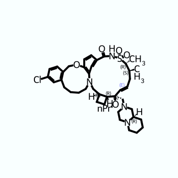 CCCO[C@]1(CN2CCN3CCCC[C@@H]3C2)/C=C/C[C@H](C)[C@@H](C)S(=O)(=O)NC(=O)c2ccc3c(c2)N(CCCCc2cc(Cl)ccc2CO3)C[C@@H]2CC[C@H]21